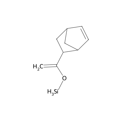 C=C(O[SiH3])C1CC2C=CC1C2